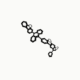 c1ccc(-c2coc3cc4oc5cc(-c6c7ccccc7c(-c7ccc8c(c7)oc7ccccc78)c7ccccc67)ccc5c4cc23)cc1